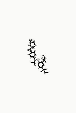 CCC(C)(C)c1ccc(ON(C(C)=O)c2ccc(Nc3cccc(O)c3)cc2)c(C(C)(C)CC)c1